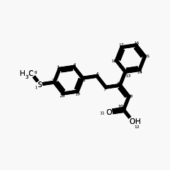 CSc1ccc(CC/C(=C\C(=O)O)c2ccccc2)cc1